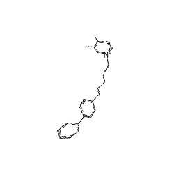 Cc1cc[n+](CCCCCc2ccc(-c3ccccc3)cc2)cc1C